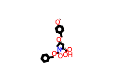 COc1ccc(CO[C@@H]2C[C@@H](C(=O)O)N(C(=O)OCc3ccccc3)C2)cc1